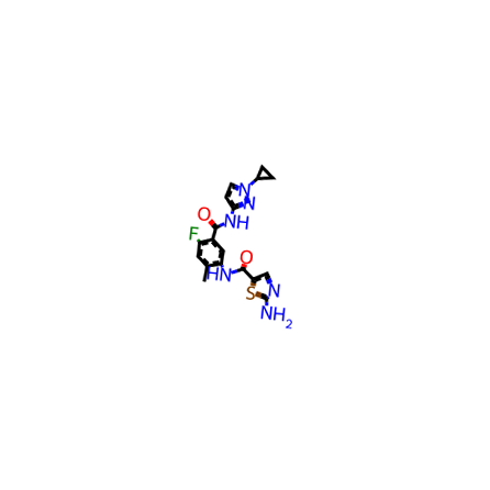 Cc1cc(F)c(C(=O)Nc2ccn(C3CC3)n2)cc1NC(=O)c1cnc(N)s1